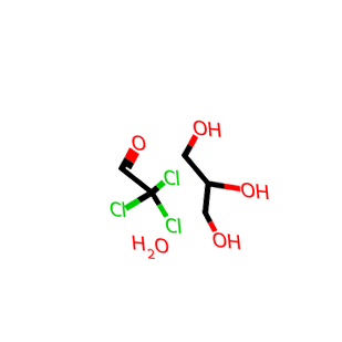 O.O=CC(Cl)(Cl)Cl.OCC(O)CO